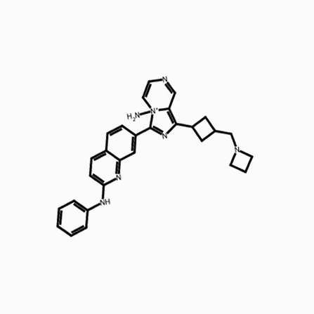 N[N+]12C=CN=CC1=C(C1CC(CN3CCC3)C1)N=C2c1ccc2ccc(Nc3ccccc3)nc2c1